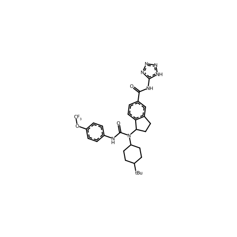 CC(C)(C)C1CCC(N(C(=O)Nc2ccc(OC(F)(F)F)cc2)C2CCc3cc(C(=O)Nc4nnn[nH]4)ccc32)CC1